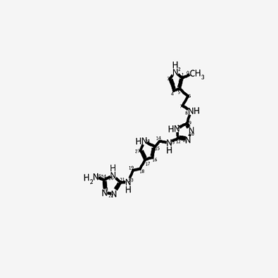 Cc1[nH]ccc1CCNc1nnc(NCc2cc(CCNc3nnc(N)[nH]3)c[nH]2)[nH]1